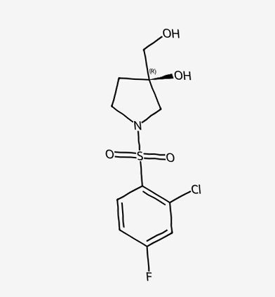 O=S(=O)(c1ccc(F)cc1Cl)N1CC[C@](O)(CO)C1